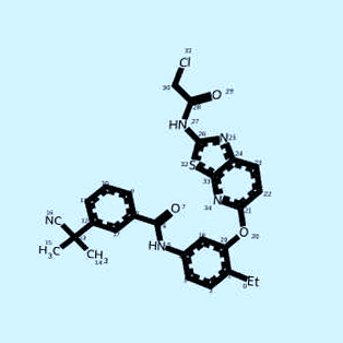 CCc1ccc(NC(=O)c2cccc(C(C)(C)C#N)c2)cc1Oc1ccc2nc(NC(=O)CCl)sc2n1